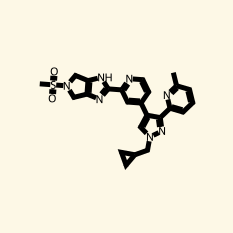 Cc1cccc(-c2nn(CC3CC3)cc2-c2ccnc(-c3nc4c([nH]3)CN(S(C)(=O)=O)C4)c2)n1